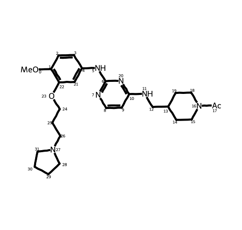 COc1ccc(Nc2nccc(NCC3CCN(C(C)=O)CC3)n2)cc1OCCCN1CCCC1